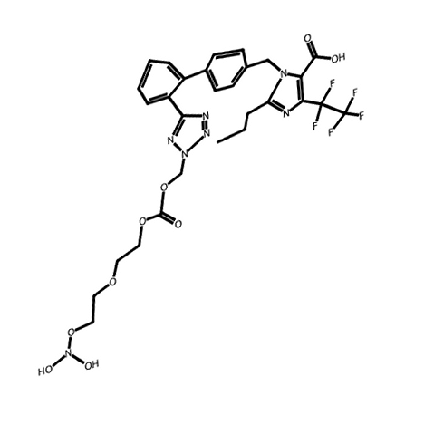 CCCc1nc(C(F)(F)C(F)(F)F)c(C(=O)O)n1Cc1ccc(-c2ccccc2-c2nnn(COC(=O)OCCOCCON(O)O)n2)cc1